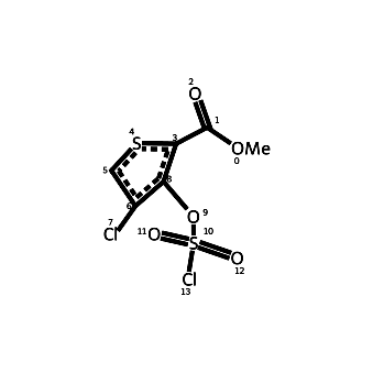 COC(=O)c1scc(Cl)c1OS(=O)(=O)Cl